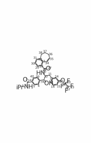 CC(C)NC(=O)c1ccc(C(O)C(Cc2cccc(OC(F)(F)C(F)F)c2)NC(=O)c2cccc3c2C=CCCC3)cc1